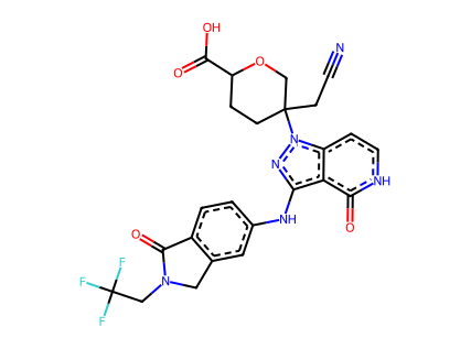 N#CCC1(n2nc(Nc3ccc4c(c3)CN(CC(F)(F)F)C4=O)c3c(=O)[nH]ccc32)CCC(C(=O)O)OC1